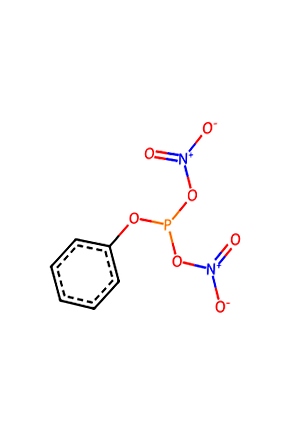 O=[N+]([O-])OP(Oc1ccccc1)O[N+](=O)[O-]